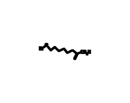 C=C(CCCCCCOCC)C(=O)O